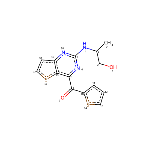 CC(CO)Nc1nc(C(=O)c2cccs2)c2sccc2n1